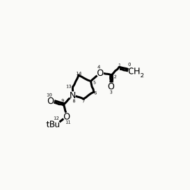 C=CC(=O)OC1CCN(C(=O)OC(C)(C)C)CC1